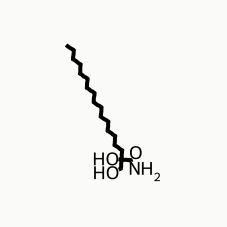 CCCCCCCCCCCCCCCCC(O)(CO)C(N)=O